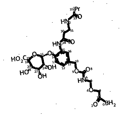 BC(=O)COCNC(=O)OCc1ccc(O[C@@H]2O[C@H](C(=O)O)[C@@H](O)[C@H](O)[C@H]2O)c(NC(=O)CCNC(=O)C(C)C)c1